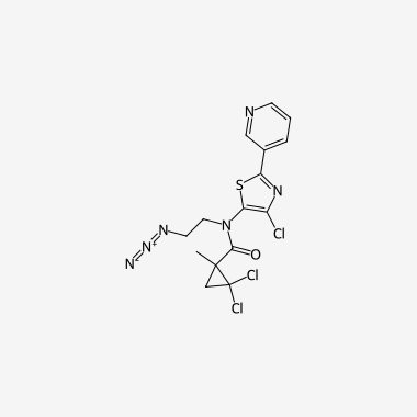 CC1(C(=O)N(CCN=[N+]=[N-])c2sc(-c3cccnc3)nc2Cl)CC1(Cl)Cl